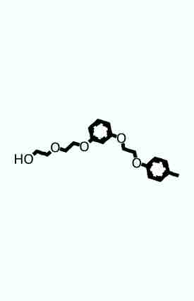 Cc1ccc(OCCOc2cccc(OCCOCCO)c2)cc1